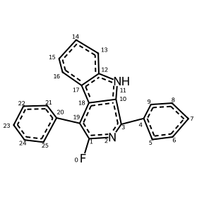 Fc1nc(-c2ccccc2)c2[nH]c3ccccc3c2c1-c1ccccc1